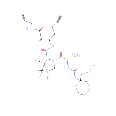 C#CCCC(NC(=O)[C@@H]1[C@@H]2[C@H](CN1C(=O)[C@@H](NC(=O)NC1(CSC(C)(C)C)CCCCC1)C(C)(C)C)C2(C)C)C(=O)C(=O)NCC=C